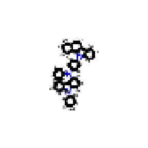 c1ccc(N(c2ccc(-n3c4ccccc4c4ccc5ccccc5c43)cc2)c2cccc3c2c2ccccc2n3-c2ccccc2)cc1